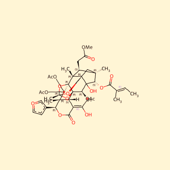 C/C=C(\C)C(=O)O[C@@H]1C2(O)[C@@H](OC(C)=O)[C@@]34O[C@]5(C)O[C@@]3(C(OC(C)=O)C(OC(C)=O)[C@]3(C)[C@H]4/C(=C(/O)C(C)C)C(=O)O[C@H]3c3ccoc3)[C@]3(C)[C@@H](CC(=O)OC)[C@@]1(C)C[C@]23O5